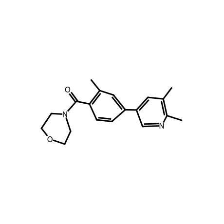 Cc1cc(-c2cnc(C)c(C)c2)ccc1C(=O)N1CCOCC1